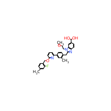 COCCn1c(Cc2ccc(-c3cccc(OCc4ccc(C)cc4F)n3)cc2C)nc2ccc(C(O)O)cc21